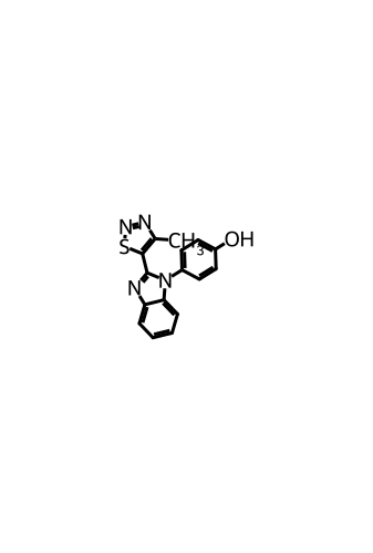 Cc1nnsc1-c1nc2ccccc2n1-c1ccc(O)cc1